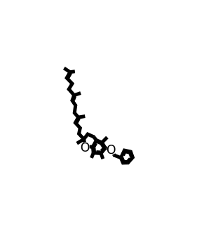 CC(C)=CCC/C(C)=C/CC/C(C)=C/CCC1(C)CCc2c(C)c(OCc3ccccc3)c(C)c(C)c2O1